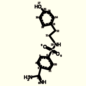 N=C(N)c1ccc(S(=O)(=O)NCCc2ccc(O)cc2)cc1